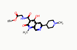 CN1CCC(c2cc3c(O)c(C(=O)NCC(=O)OC(C)(C)C)c(=O)n(C)c3cn2)CC1